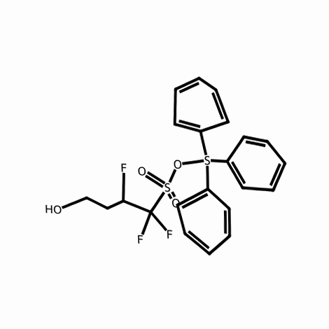 O=S(=O)(OS(c1ccccc1)(c1ccccc1)c1ccccc1)C(F)(F)C(F)CCO